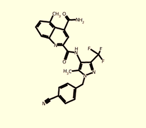 Cc1cccc2nc(C(=O)Nc3c(C(F)(F)F)nn(Cc4ccc(C#N)cc4)c3C)cc(C(N)=O)c12